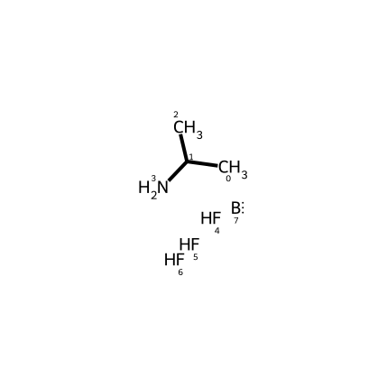 CC(C)N.F.F.F.[B]